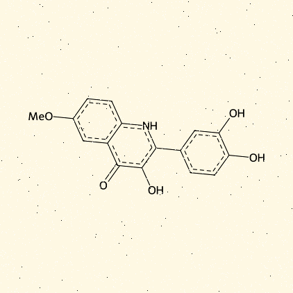 COc1ccc2[nH]c(-c3ccc(O)c(O)c3)c(O)c(=O)c2c1